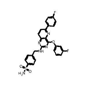 NS(=O)(=O)c1ccc(CNc2nc(Oc3cccc(F)c3)c3nc(-c4ccc(F)cc4)ccc3n2)cc1